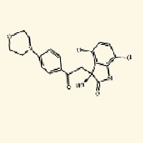 O=C(C[C@@]1(O)C(=O)Nc2c(Cl)ccc(Cl)c21)c1ccc(N2CCOCC2)cc1